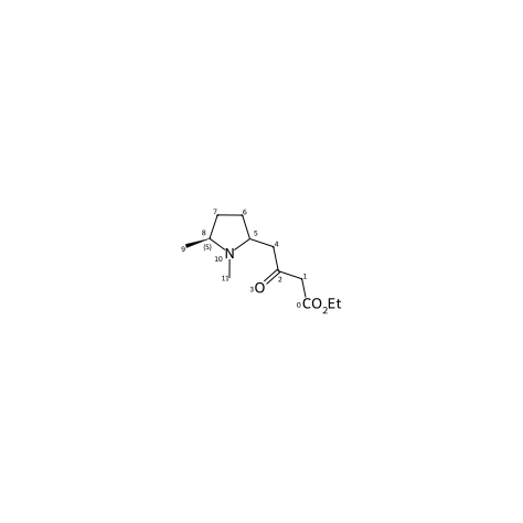 CCOC(=O)CC(=O)CC1CC[C@H](C)N1C